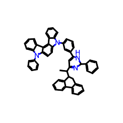 CC(C1=NC(c2ccccc2)NC(c2cccc(-n3c4ccccc4c4c5c6ccccc6n(-c6ccccc6)c5ccc43)c2)=C1)C1Cc2ccccc2-c2ccccc21